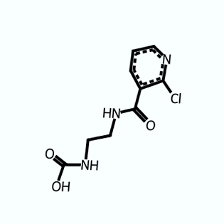 O=C(O)NCCNC(=O)c1cccnc1Cl